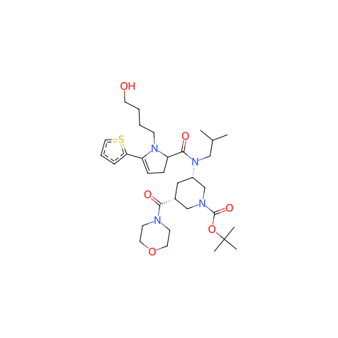 CC(C)CN(C(=O)C1CC=C(c2cccs2)N1CCCCO)[C@H]1C[C@@H](C(=O)N2CCOCC2)CN(C(=O)OC(C)(C)C)C1